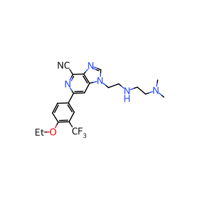 CCOc1ccc(-c2cc3c(ncn3CCNCCN(C)C)c(C#N)n2)cc1C(F)(F)F